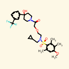 COc1cc(C)c(S(=O)(=O)N(CCOCC(=O)N2CCC(O)(c3cccc(C(F)(F)F)c3)CC2)CC2CC2)c(C)c1C